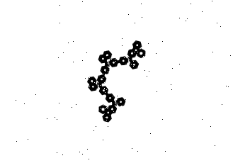 c1ccc(N(c2ccc(-c3ccc(N(c4ccc(-c5ccc(N(c6ccc(-c7ccc(N(c8ccccc8)c8ccc9c(c8)C8(CCCCC8)c8ccccc8-9)cc7)cc6)c6cccc7ccccc67)cc5)cc4)c4cccc5ccccc45)cc3)cc2)c2ccc3c(c2)C2(CCCCC2)c2ccccc2-3)cc1